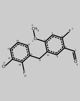 COc1cc(F)c([C]=O)cc1Cc1cccc(Cl)c1F